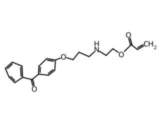 C=CC(=O)OCCNCCCOc1ccc(C(=O)c2ccccc2)cc1